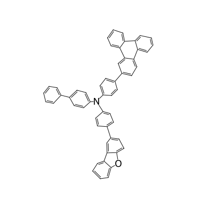 c1ccc(-c2ccc(N(c3ccc(-c4ccc5oc6ccccc6c5c4)cc3)c3ccc(-c4ccc5c6ccccc6c6ccccc6c5c4)cc3)cc2)cc1